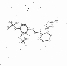 [2H]C([2H])([2H])Oc1ccc(CCO[C@@H]2CCCC[C@H]2N2CC[C@@H](O)C2)cc1OC([2H])([2H])[2H]